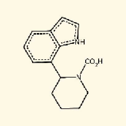 O=C(O)N1CCCCC1c1cccc2cc[nH]c12